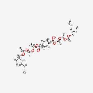 CCCCC(CC)COC(C)OC(C)OC(C)OC(=O)c1ccc(C(=O)OC(C)OC(C)OC(C)OCC(CC)CCCC)cc1